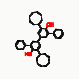 Oc1c(-c2ccccc2)cc(-c2cc(-c3ccccc3)c(O)c(C3CCCCCCC3)c2)cc1C1CCCCCCC1